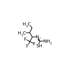 CCC(C)C(/N=C(/N)S)C(F)(F)F